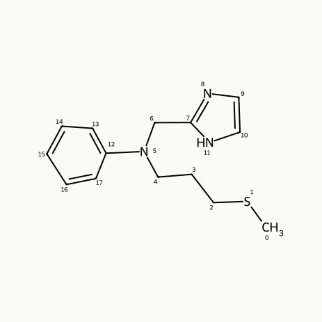 CSCCCN(Cc1ncc[nH]1)c1ccccc1